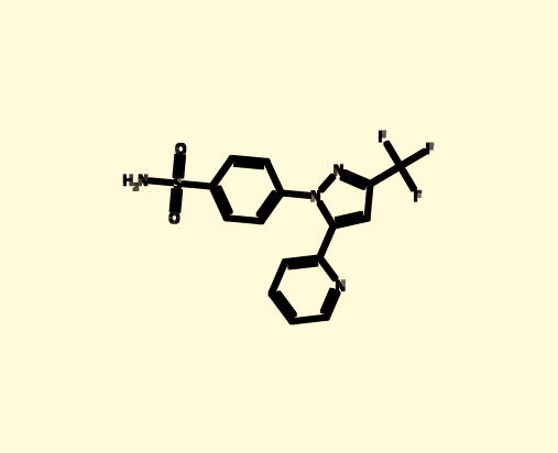 NS(=O)(=O)c1ccc(-n2nc(C(F)(F)F)cc2-c2ccccn2)cc1